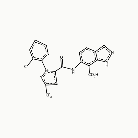 O=C(O)c1c(NC(=O)c2cc(C(F)(F)F)nn2-c2ncccc2Cl)ccc2cn[nH]c12